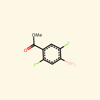 Bc1cc(F)c(C(=O)OC)cc1F